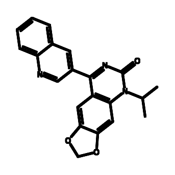 CC(C)n1c(=O)nc(-c2cnc3ccccc3c2)c2cc3c(cc21)OCO3